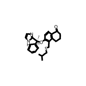 CC(C)CSCc1c(O[C@@](C)(c2ccccc2)c2ncc[nH]2)ccc2c1CCCC2=O